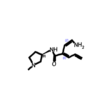 C=C/C=C(\C=C/N)C(=O)N[C@@H]1CCN(C)C1